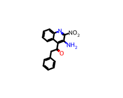 Nc1c([N+](=O)[O-])nc2ccccc2c1C(=O)Cc1ccccc1